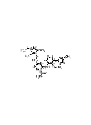 CCn1nc(C)c(CNc2ncc(C(N)=O)c(Nc3cccc(-c4ncn(C)n4)c3OC)n2)c1C